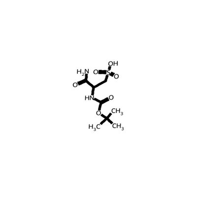 CC(C)(C)OC(=O)NC(CS(=O)(=O)O)C(N)=O